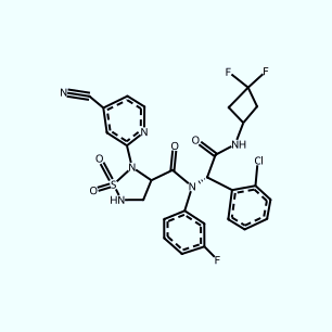 N#Cc1ccnc(N2C(C(=O)N(c3cccc(F)c3)[C@H](C(=O)NC3CC(F)(F)C3)c3ccccc3Cl)CNS2(=O)=O)c1